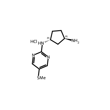 CSc1cnc(N[C@@H]2CC[C@@H](N)C2)nc1.Cl